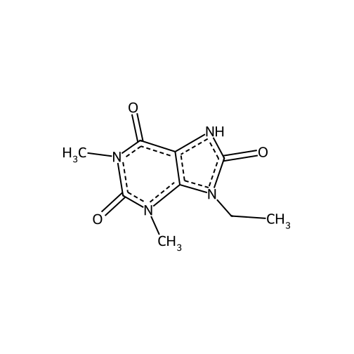 CCn1c(=O)[nH]c2c(=O)n(C)c(=O)n(C)c21